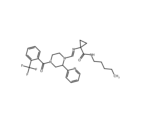 CCCCCNC(=O)C1(N=CN2CCN(C(=O)c3ccccc3C(F)(F)F)CC2c2ccccn2)CC1